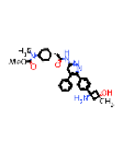 COC(=O)N(C)[C@H]1CC[C@H](CC(=O)Nc2cc(-c3ccccc3)c(-c3ccc([C@]4(N)C[C@](C)(O)C4)cc3)nn2)CC1